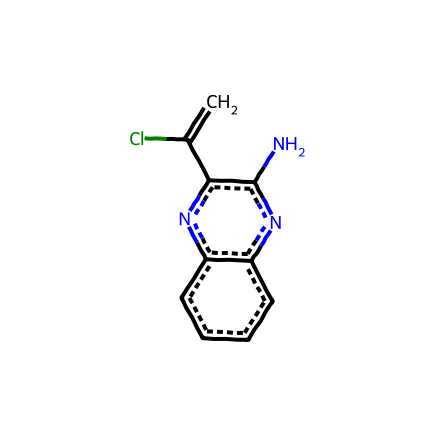 C=C(Cl)c1nc2ccccc2nc1N